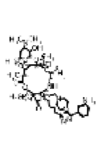 CC[C@H]1OC(=O)[C@H](C)C(=O)[C@H](C)[C@@H](O[C@@H]2O[C@H](C)CC(N(C)C)C2O)[C@](C)(OC)C[C@@H](C)CN[C@H](CCN2CCOCC2)[C@H]2N(CCCCn3cc(-c4cccc(N)c4)nn3)C(=O)O[C@]12C